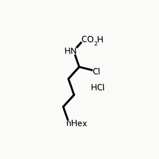 CCCCCCCCCC(Cl)NC(=O)O.Cl